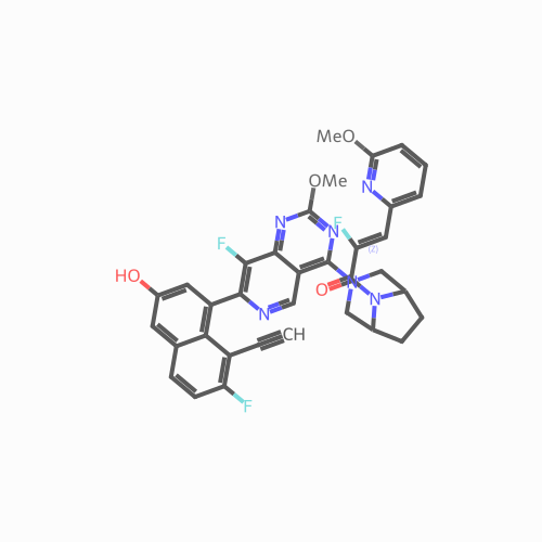 C#Cc1c(F)ccc2cc(O)cc(-c3ncc4c(N5CC6CCC(C5)N6C(=O)/C(F)=C/c5cccc(OC)n5)nc(OC)nc4c3F)c12